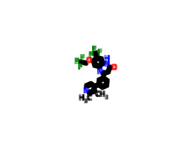 Cc1nccc(-c2cccc(C3=Nc4cc(OCC(F)(F)F)c(C(F)(F)F)cc4NC(=O)C3)c2)c1C